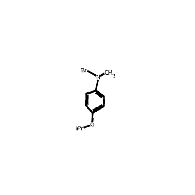 CC(C)Oc1ccc(N(C)Br)cc1